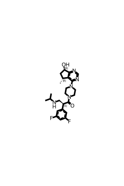 CC(C)NC[C@@H](C(=O)N1CCN(c2ncnc3c2[C@H](C)C[C@H]3O)CC1)c1cc(F)cc(F)c1